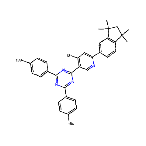 CCc1cc(-c2ccc3c(c2)C(C)(C)CC3(C)C)ncc1-c1nc(-c2ccc(C(C)(C)C)cc2)nc(-c2ccc(C(C)(C)C)cc2)n1